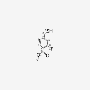 COC(=O)c1ccc(CS)cc1F